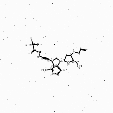 C=CCOC1C[C@H](N2CN(C#CCNC(=O)C(F)(F)F)c3c(N)ncnc32)O[C@@H]1CO